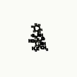 CC1(C)CC(O)=C(C(=S)Nc2ccccc2)C(=O)N1